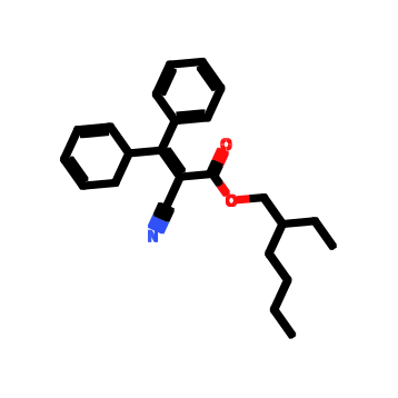 CCCCC(CC)COC(=O)/C(C#N)=C(\c1ccccc1)C1C=CC=CC1